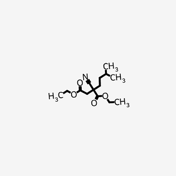 CCOC(=O)CC(C#N)(CCC(C)C)C(=O)OCC